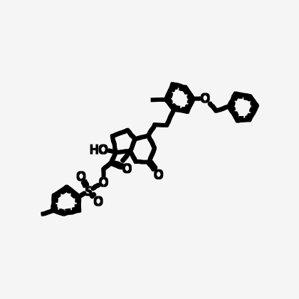 Cc1ccc(S(=O)(=O)OCC(=O)C2(O)CCC3C(CCc4cc(OCc5ccccc5)ccc4C)CC(=O)CC32C)cc1